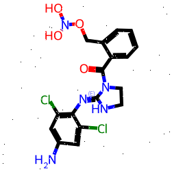 Nc1cc(Cl)c(/N=C2\NCCN2C(=O)c2ccccc2CON(O)O)c(Cl)c1